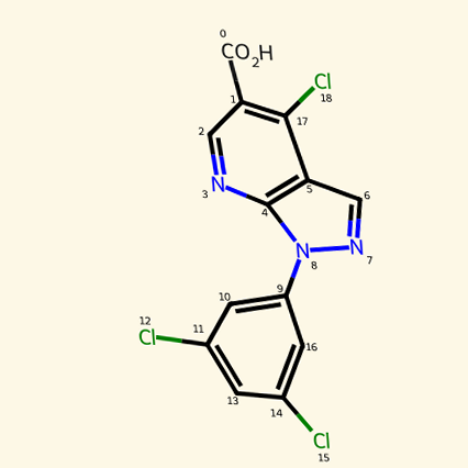 O=C(O)c1cnc2c(cnn2-c2cc(Cl)cc(Cl)c2)c1Cl